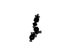 CC1(C(=O)Nc2c[nH]c3ccc(O[C@H]4C[C@H](c5ccc(C(F)(F)F)cc5)C4)cc23)CCC(=O)CC1